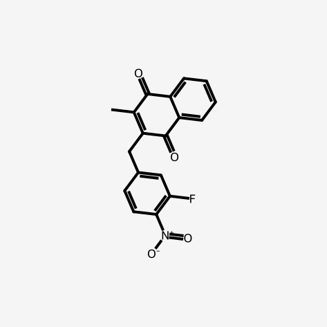 CC1=C(Cc2ccc([N+](=O)[O-])c(F)c2)C(=O)c2ccccc2C1=O